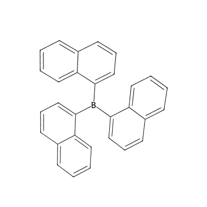 c1ccc2c(B(c3cccc4ccccc34)c3cccc4ccccc34)cccc2c1